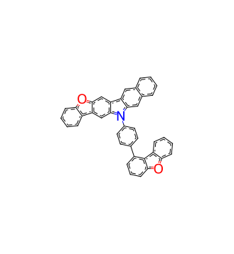 c1ccc2cc3c(cc2c1)c1cc2oc4ccccc4c2cc1n3-c1ccc(-c2cccc3oc4ccccc4c23)cc1